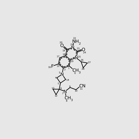 Cc1c(N2CC(C3(N(C)CCC#N)CC3)C2)c(F)cc2c(=O)n(N)c(=O)n(C3CC3)c12